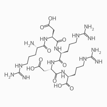 N=C(N)NCCC[C@H](NC(=O)[C@H](CC(=O)O)NC(=O)[C@H](CCCNC(=N)N)NC(=O)[C@H](CC(=O)O)NC(=O)[C@@H](N)CCCNC(=N)N)C(=O)O